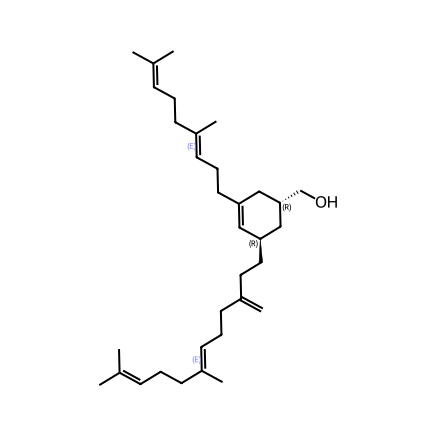 C=C(CC/C=C(\C)CCC=C(C)C)CC[C@H]1C=C(CC/C=C(\C)CCC=C(C)C)C[C@H](CO)C1